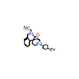 CC(C)C1CCC(N2CCC3(CC2)C(=O)N(CC#N)Cc2ccccc23)CC1